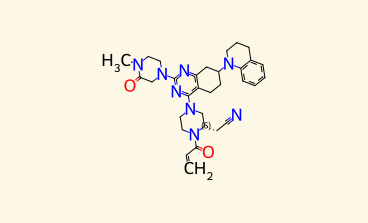 C=CC(=O)N1CCN(c2nc(N3CCN(C)C(=O)C3)nc3c2CCC(N2CCCc4ccccc42)C3)C[C@@H]1CC#N